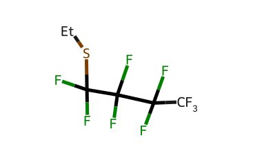 CCSC(F)(F)C(F)(F)C(F)(F)C(F)(F)F